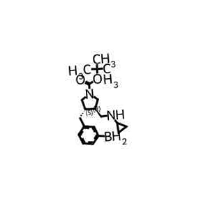 Bc1cccc(C[C@@H]2CN(C(=O)OC(C)(C)C)C[C@H]2CNC2CC2)c1